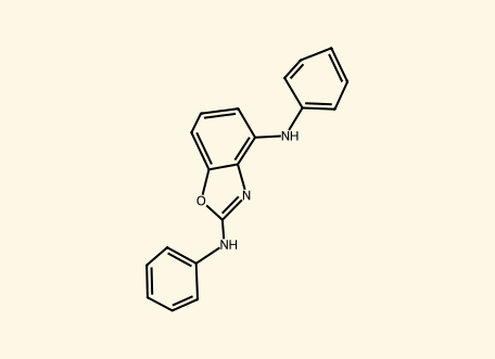 c1ccc(Nc2nc3c(Nc4ccccc4)cccc3o2)cc1